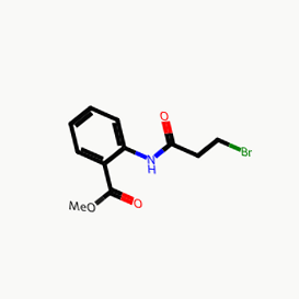 COC(=O)c1ccccc1NC(=O)CCBr